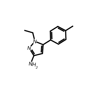 CCn1nc(N)cc1-c1ccc(C)cc1